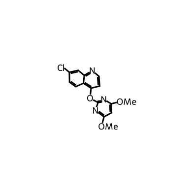 COc1cc(OC)nc(Oc2ccnc3cc(Cl)ccc23)n1